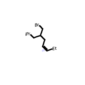 CC/C=C\CC(CBr)CC(C)C